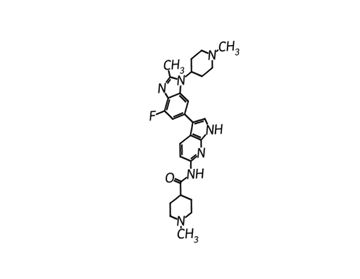 Cc1nc2c(F)cc(-c3c[nH]c4nc(NC(=O)C5CCN(C)CC5)ccc34)cc2n1C1CCN(C)CC1